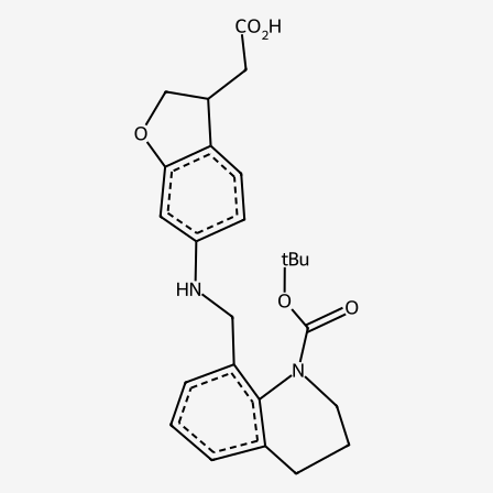 CC(C)(C)OC(=O)N1CCCc2cccc(CNc3ccc4c(c3)OCC4CC(=O)O)c21